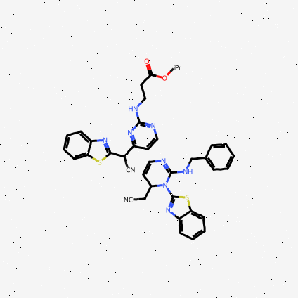 CC(C)OC(=O)CCNc1nccc(C(C#N)c2nc3ccccc3s2)n1.N#CCC1C=CN=C(NCc2ccccc2)N1c1nc2ccccc2s1